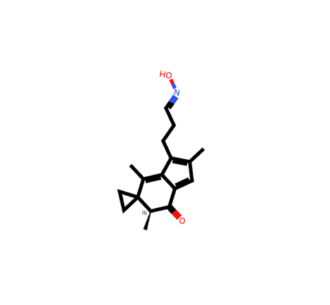 CC1=C(CCC=NO)C2=C(C)C3(CC3)[C@H](C)C(=O)C2=C1